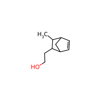 CC1C2C=CC(C2)C1CCO